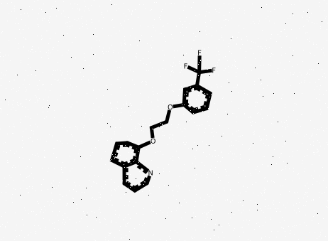 FC(F)(F)c1cccc(OCCOc2cccc3cccnc23)c1